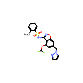 COc1ccccc1S(=O)(=O)Nc1noc2cc(Cn3cccn3)cc(OC(F)F)c12